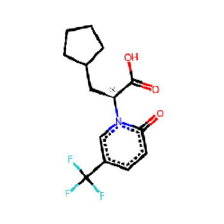 O=C(O)[C@H](CC1CCCC1)n1cc(C(F)(F)F)ccc1=O